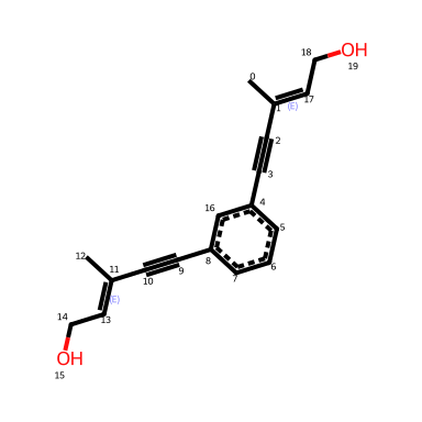 C/C(C#Cc1cccc(C#C/C(C)=C/CO)c1)=C\CO